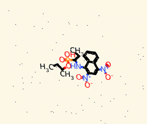 CCC(C)OP(=O)(O)C(CC)Nc1c([N+](=O)[O-])cc([N+](=O)[O-])c2ccccc12